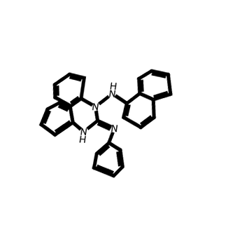 c1ccc(N=C(Nc2ccccc2)N(Nc2cccc3ccccc23)c2ccccc2)cc1